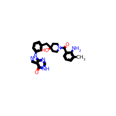 Cc1cccc(C(=O)N2CCC(O)(Cc3cccc(-n4ncc5c(=O)[nH]cnc54)c3)CC2)c1N